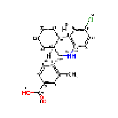 Cc1cc(C(=O)O)ccc1[C@H]1Nc2ccc(Cl)cc2[C@@H]2CCCC[C@H]12